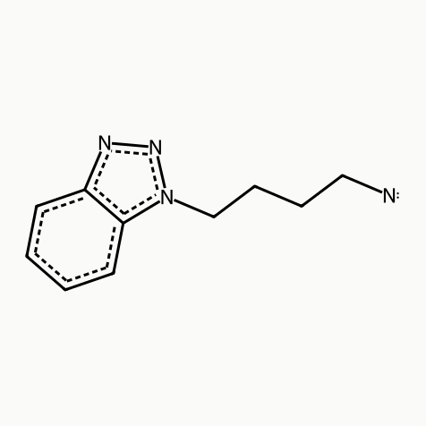 [N]CCCCn1nnc2ccccc21